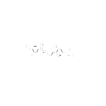 O=C(Nc1ccc(CF)c(F)c1)N1CC=C(c2ncc([C@H](O)CO)cc2Cl)CC1